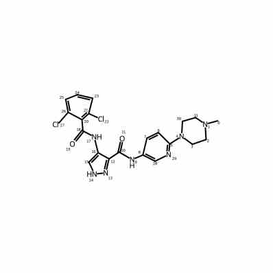 CN1CCN(c2ccc(NC(=O)c3n[nH]cc3NC(=O)c3c(Cl)cccc3Cl)cn2)CC1